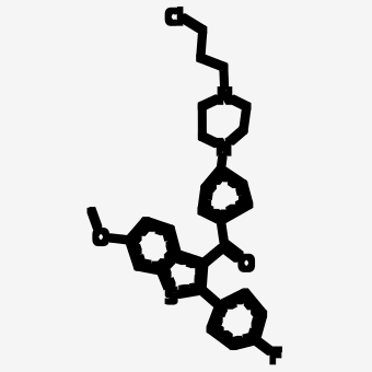 COc1ccc2c(C(=O)c3ccc(N4CCN(CCCCl)CC4)cc3)c(-c3ccc(F)cc3)sc2c1